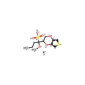 CCCC(OC)(C1COc2cscc2O1)S(=O)(=O)[O-].[K+]